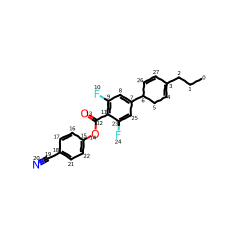 CCCC1=CCC(c2cc(F)c(C(=O)Oc3ccc(C#N)cc3)c(F)c2)C=C1